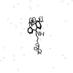 CN1c2ccccc2C(NCCCCOCC(=O)OC(C)(C)C)c2ccc(Cl)cc2S1(=O)=O